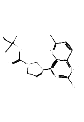 CC(C)(C)OC(=O)N1CCC(c2nc(N)nc3ccc(Cl)nc23)C1